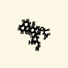 CC(CN(C)C)Oc1nc(N2CCNC(CC#N)C2)c2cnc(-c3cccc4cccc(Cl)c34)c(F)c2n1